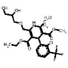 CCOC(=O)C1=C(COCC(O)CO)NC(C)=C(C(=O)OC)C1c1cccc(C(F)(F)F)c1Cl.O